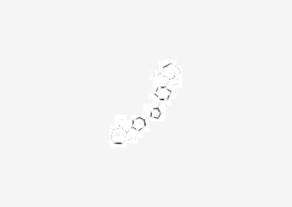 C1=CNC(c2ccc(-c3ccc(-c4ccc(C5NC=CCCN5)cc4)o3)cc2)NCC1